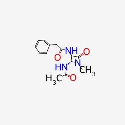 CC(=O)N[C@H]1[C@@H](NC(=O)Cc2ccccc2)C(=O)N1C